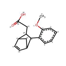 COc1ccccc1C1C2C=CC(C2)C1CC(=O)O